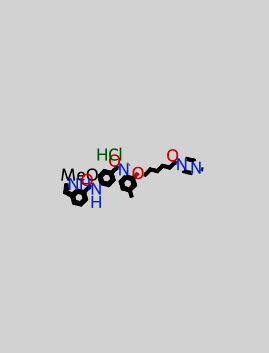 COc1cc(C(=O)N(C)c2ccc(C)cc2OCCCCCC(=O)N2CCN(C)CC2)ccc1NC(=O)c1cccc2cc[nH]c12.Cl